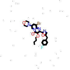 CCCCOc1c(-c2ncc(Cc3ccc(F)cc3)o2)nc2c(Br)cc(N3CCOCC3)cn2c1=O